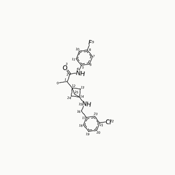 CC(C(=O)Nc1ccc(F)cc1)C12CC(NCc3cccc(Cl)c3)(C1)C2